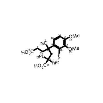 CCCC(CCC)(CC(C#N)(CCC(=O)O)c1ccc(OC)c(OC)c1F)C(=O)O